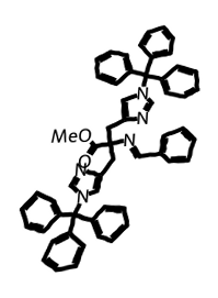 COC(=O)C(Cc1cn(C(c2ccccc2)(c2ccccc2)c2ccccc2)cn1)(Cc1cn(C(c2ccccc2)(c2ccccc2)c2ccccc2)cn1)N=Cc1ccccc1